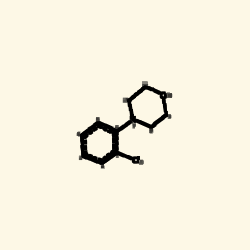 Clc1ccc[c]c1N1CCOCC1